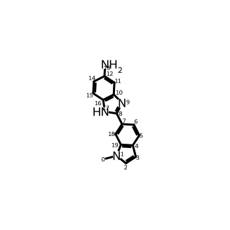 Cn1ccc2ccc(-c3nc4cc(N)ccc4[nH]3)cc21